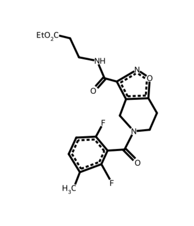 CCOC(=O)CCNC(=O)c1noc2c1CN(C(=O)c1c(F)ccc(C)c1F)CC2